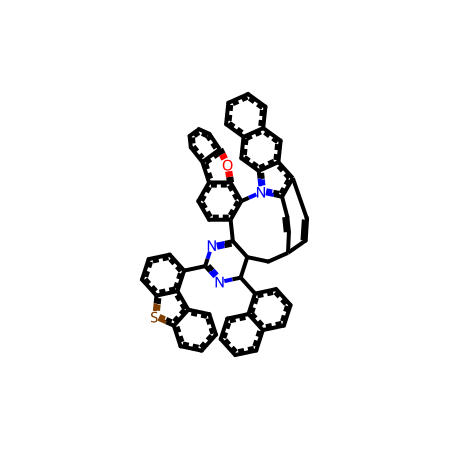 C1=CC2C=Cc3c1c1cc4ccccc4cc1n3-c1c(ccc3c1oc1ccccc13)C1=NC(c3cccc4sc5ccccc5c34)=NC(c3cccc4ccccc34)C1C2